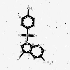 Cc1ccc(S(=O)(=O)n2cc(I)c3cc(C(=O)O)cnc32)cc1